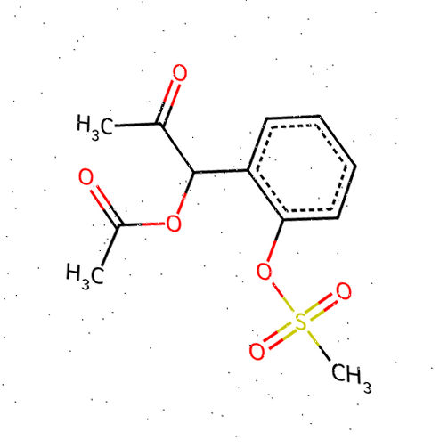 CC(=O)OC(C(C)=O)c1ccccc1OS(C)(=O)=O